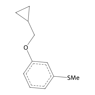 CSc1cccc(OCC2CC2)c1